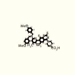 COc1ccc(CN(Cc2ccc(OC)cc2)c2cc(C)c(C(F)(F)F)c(-c3c(Cl)cc4c(N5CCN(C(=O)O)CC5)nc(F)nc4c3F)n2)cc1